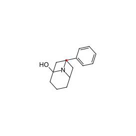 OC12CCCC(CCC1)N2Cc1ccccc1